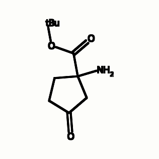 CC(C)(C)OC(=O)C1(N)CCC(=O)C1